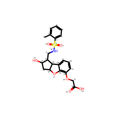 Cc1ccccc1S(=O)(=O)NCC1C(O)CC2Oc3c(OCC(=O)O)cccc3C21